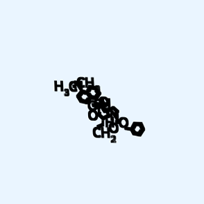 C=CC[C@H]1C(=O)N(S(=O)(=O)c2cccc3c(N(C)C)cccc23)[C@H]2CCN(C(=O)OCc3ccccc3)[C@H]12